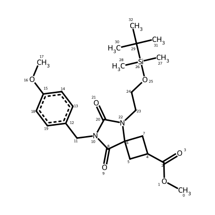 COC(=O)C1CC2(C1)C(=O)N(Cc1ccc(OC)cc1)C(=O)N2CCO[Si](C)(C)C(C)(C)C